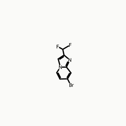 FC(F)c1cn2ccc(Br)cc2n1